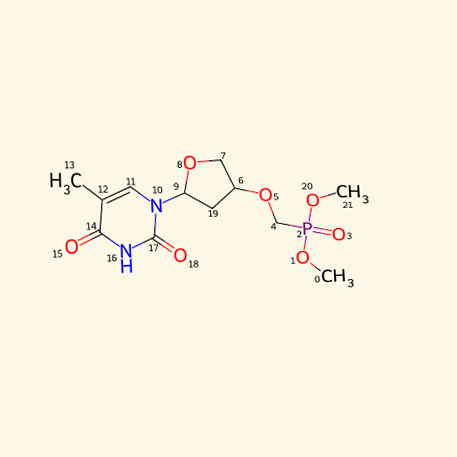 COP(=O)(COC1COC(n2cc(C)c(=O)[nH]c2=O)C1)OC